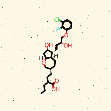 CCCC(CC[C@@H]1CC[C@@H]2[C@@H](C=C[C@@H](O)COc3cccc(Cl)c3F)[C@H](O)C[C@@H]2OC1)C(=O)O